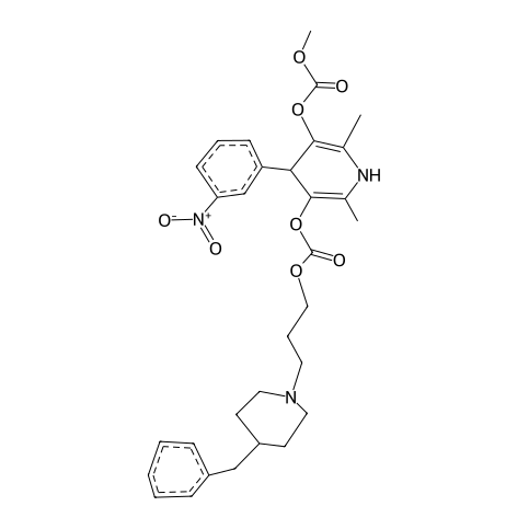 COC(=O)OC1=C(C)NC(C)=C(OC(=O)OCCCN2CCC(Cc3ccccc3)CC2)C1c1cccc([N+](=O)[O-])c1